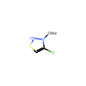 CON1NSC=C1Cl